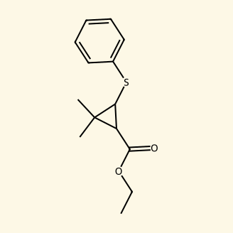 CCOC(=O)C1C(Sc2ccccc2)C1(C)C